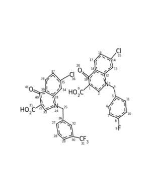 O=C(O)c1cn(Cc2ccc(F)cc2)c2cc(Cl)ccc2c1=O.O=C(O)c1cn(Cc2cccc(C(F)(F)F)c2)c2cc(Cl)ccc2c1=O